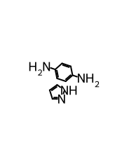 Nc1ccc(N)cc1.c1cn[nH]c1